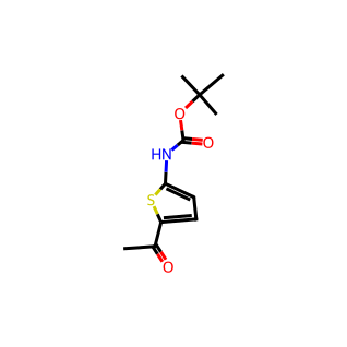 CC(=O)c1ccc(NC(=O)OC(C)(C)C)s1